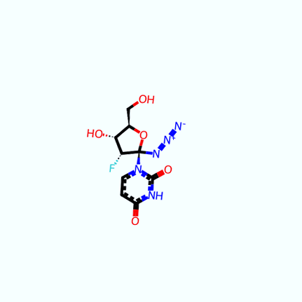 [N-]=[N+]=N[C@@]1(n2ccc(=O)[nH]c2=O)O[C@H](CO)[C@@H](O)[C@H]1F